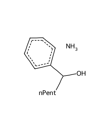 CCCCCC(O)c1ccccc1.N